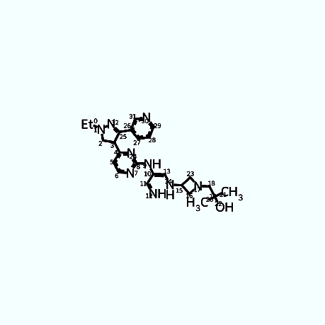 CCN1CC(c2ccnc(N/C(C=N)=C/NC3CN(CC(C)(C)O)C3)n2)C(c2cccnc2)=N1